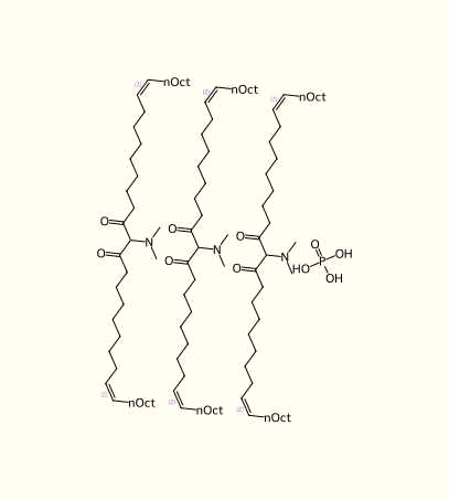 CCCCCCCC/C=C\CCCCCCCC(=O)C(C(=O)CCCCCCC/C=C\CCCCCCCC)N(C)C.CCCCCCCC/C=C\CCCCCCCC(=O)C(C(=O)CCCCCCC/C=C\CCCCCCCC)N(C)C.CCCCCCCC/C=C\CCCCCCCC(=O)C(C(=O)CCCCCCC/C=C\CCCCCCCC)N(C)C.O=P(O)(O)O